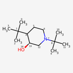 CC(C)(C)C1CCN(C(C)(C)C)C[C@H]1O